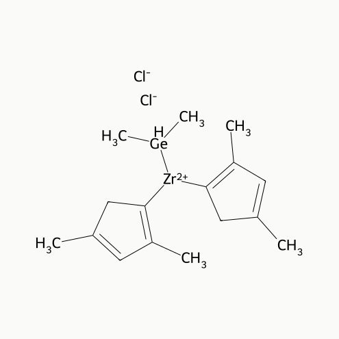 CC1=CC(C)=[C]([Zr+2]([C]2=C(C)C=C(C)C2)[GeH]([CH3])[CH3])C1.[Cl-].[Cl-]